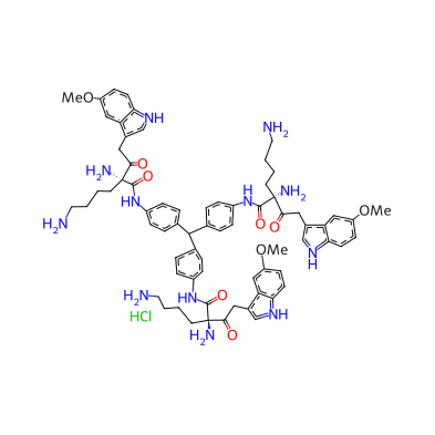 COc1ccc2[nH]cc(CC(=O)[C@](N)(CCCCN)C(=O)Nc3ccc(C(c4ccc(NC(=O)[C@@](N)(CCCCN)C(=O)Cc5c[nH]c6ccc(OC)cc56)cc4)c4ccc(NC(=O)[C@@](N)(CCCCN)C(=O)Cc5c[nH]c6ccc(OC)cc56)cc4)cc3)c2c1.Cl